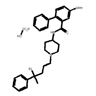 CCC(C)(CCCN1CCC(NC(=O)c2cc(OC)ccc2-c2ccccc2)CC1)c1ccccc1.O=C(O)O